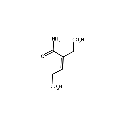 NC(=O)C(=CCC(=O)O)CC(=O)O